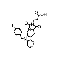 O=C(O)CCN1C(=O)C2Cc3c(n(Cc4ccc(F)cc4)c4ccccc34)CN2C1=O